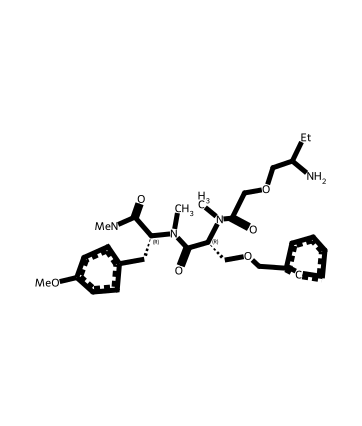 CCC(N)COCC(=O)N(C)[C@H](COCc1ccccc1)C(=O)N(C)[C@H](Cc1ccc(OC)cc1)C(=O)NC